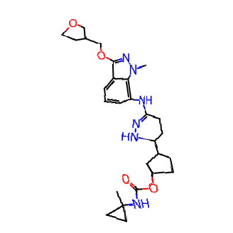 Cn1nc(OCC2CCOC2)c2cccc(NC3=NNC(C4CCC(OC(=O)NC5(C)CC5)C4)CC3)c21